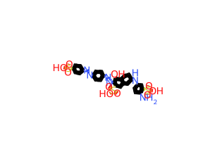 Nc1ccc(Nc2ccc3c(O)c(N=Nc4ccc(N=Nc5ccc(S(=O)(=O)O)cc5)cc4)c(S(=O)(=O)O)cc3c2)cc1S(=O)(=O)O